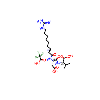 CC(C)[C@H](NC(=O)[C@H](CC(=O)O)NC(=O)/C=C/CCCCCCNC(=N)N)C(=O)O.O=C(O)C(F)(F)F